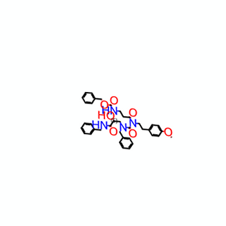 COc1ccc(CCN(C(=O)CCNC(=O)OCc2ccccc2)C(=O)N(Cc2ccccc2)C[C@H](O)C(=O)NCc2ccccc2)cc1